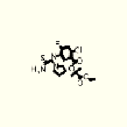 CCOC(=O)C(C)(C)OC(=O)c1cc(N=C(C(N)=S)N2CCCC2)c(F)cc1Cl